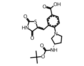 CC(C)(C)OC(=O)N[C@H]1CCN(c2ccc(C(=O)O)cc2/C=C2\SC(=O)NC2=O)C1